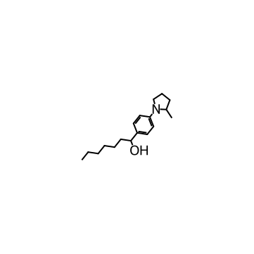 CCCCCCC(O)c1ccc(N2CCCC2C)cc1